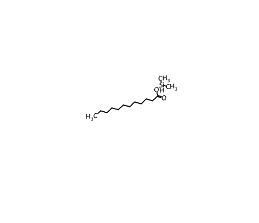 CCCCCCCCCCCC(=O)O[SiH](C)C